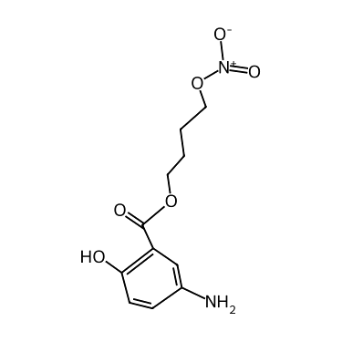 Nc1ccc(O)c(C(=O)OCCCCO[N+](=O)[O-])c1